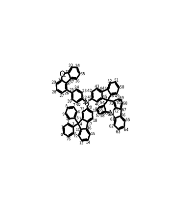 c1ccc(C2(c3ccccc3)c3ccccc3-c3ccc(N(c4ccc(-c5cccc6oc7ccccc7c56)cc4)c4ccc5c(c4)C4(c6ccccc6-5)c5ccccc5-n5c6ccccc6c6cccc4c65)cc32)cc1